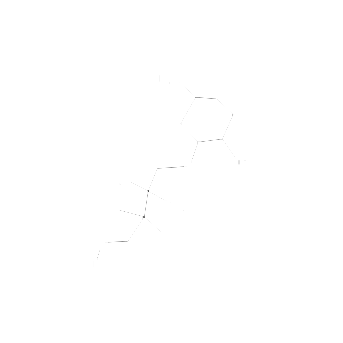 BC(C)(COC1CC(C)CCC1C(C)C)C(C)(C)COCC